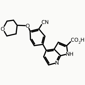 N#Cc1cc(-c2ccnc3[nH]c(C(=O)O)cc23)ccc1OC1CCOCC1